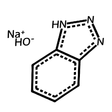 [Na+].[OH-].c1ccc2[nH]nnc2c1